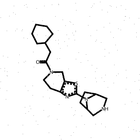 O=C(CC1CCCCC1)N1CCc2nc(N3C4CCC3CNC4)sc2C1